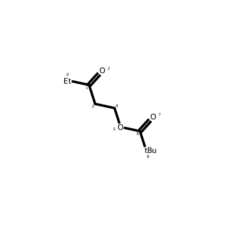 CCC(=O)CCOC(=O)C(C)(C)C